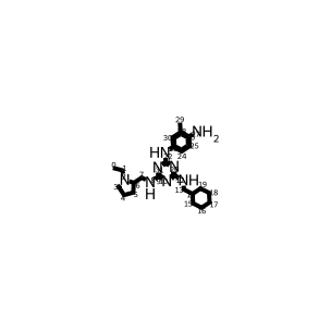 CCN1CCCC1CNc1nc(NCC2CCCCC2)nc(Nc2ccc(N)c(C)c2)n1